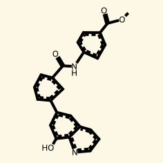 COC(=O)c1ccc(NC(=O)c2cccc(-c3cc(O)c4ncccc4c3)c2)cc1